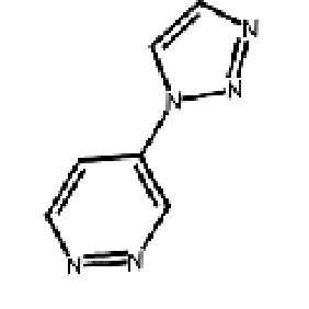 c1cc(-n2ccnn2)cnn1